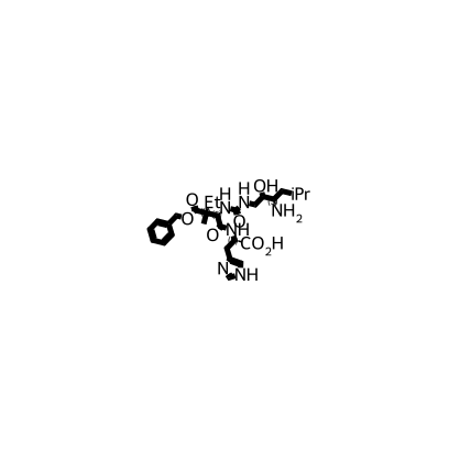 CC[C@@](C)(C(=O)OCc1ccccc1)[C@H](NC(=O)NCC(O)[C@@H](N)CC(C)C)C(=O)N[C@@H](Cc1c[nH]cn1)C(=O)O